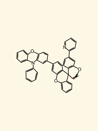 c1ccc(N2c3ccccc3Oc3ccc(-c4ccc5c(c4)Oc4ccccc4C54c5ccccc5Oc5cc(-c6ccccn6)ccc54)cc32)cc1